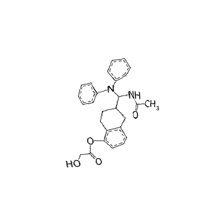 CC(=O)NC(C1CCc2c(cccc2OC(=O)CO)C1)N(c1ccccc1)c1ccccc1